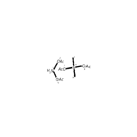 CC(=O)O[SiH2]OC(C)=O.CC(=O)O[Si](C)(C)OC(C)=O